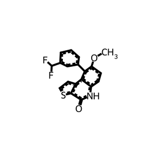 COc1ccc2[nH]c(=O)c3sccc3c2c1-c1cccc(C(F)F)c1